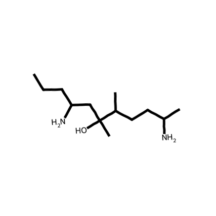 CCCC(N)CC(C)(O)C(C)CCC(C)N